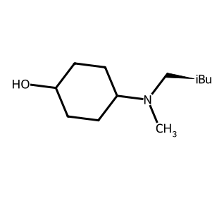 CC[C@H](C)CN(C)C1CCC(O)CC1